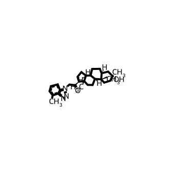 CC[C@]12CC[C@@](C)(O)C[C@@H]1CC[C@H]1[C@@H]3CC[C@H](C(=O)Cn4nnc5c(C)cccc54)[C@@]3(C)CC[C@@H]12